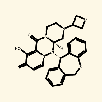 O=C1c2c(O)c(=O)ccn2N([C@H]2c3ccccc3CSc3ccccc32)[C@@H]2CN(C3COC3)CCN12